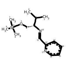 CC(C)[C@@H](CO[Si](C)(C)C)N=Cc1ccccn1